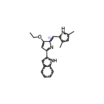 CCOC1=CC(c2cc3ccccc3[nH]2)=N/C1=C\c1[nH]c(C)cc1C